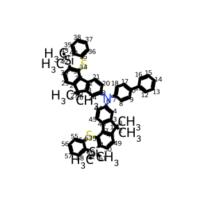 CC1(C)c2cc(N(c3ccc(-c4ccccc4)cc3)c3ccc4c(c3)C(C)(C)c3ccc5c(c3-4)Sc3ccccc3[Si]5(C)C)ccc2-c2c1ccc1c2Sc2ccccc2[Si]1(C)C